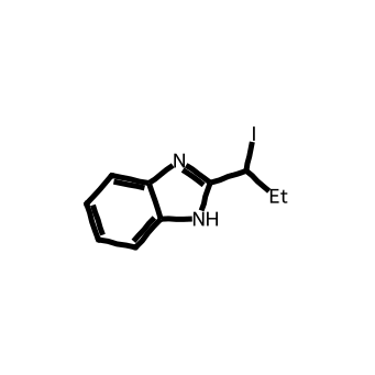 CCC(I)c1nc2ccccc2[nH]1